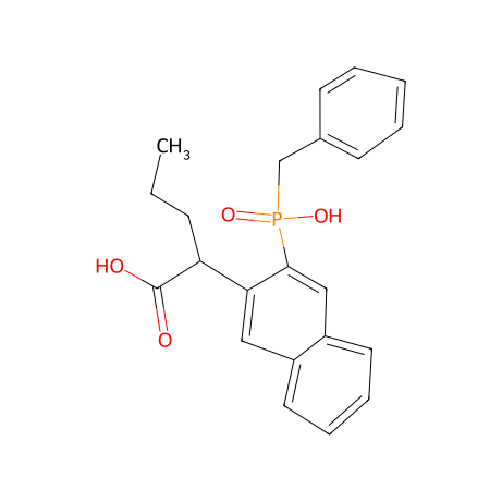 CCCC(C(=O)O)c1cc2ccccc2cc1P(=O)(O)Cc1ccccc1